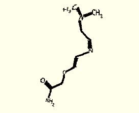 CN(C)C/C=N\C=C\OCC(N)=O